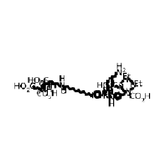 CCN1CCN(CC)CCN(CC(=O)O)C(Cc2ccc(Nc3nc(N4CCN(CCCN)CC4)nc(N4CCN(CCCCCCCCCCC(=O)NCCCC[C@H](NC(=O)N[C@@H](CCC(=O)O)C(=O)O)C(=O)O)CC4)n3)cc2)CN(CC(=O)O)CC1